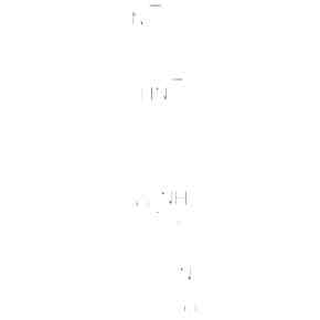 O=C(/C=C/c1cccnc1)NCCCCCCNS(=O)(=O)C1(CCCN2CCOCC2)CCCCC1